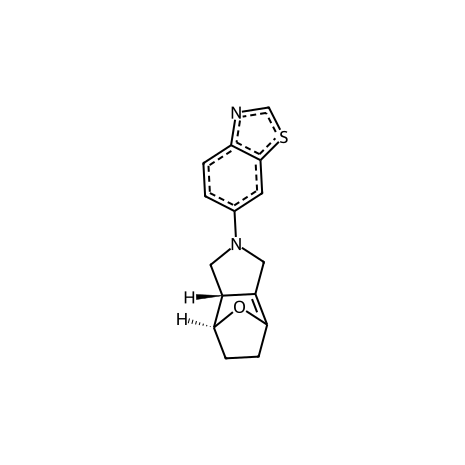 c1nc2ccc(N3CC4=C5CC[C@H](O5)[C@@H]4C3)cc2s1